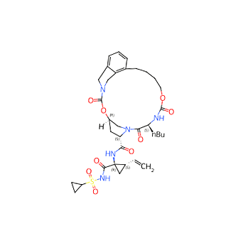 C=C[C@@H]1C[C@]1(NC(=O)[C@@H]1C[C@@H]2CN1C(=O)[C@H](CCCC)NC(=O)OCCCCc1cccc3c1CN(C3)C(=O)O2)C(=O)NS(=O)(=O)C1CC1